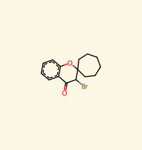 O=C1c2ccccc2OC2(CCCCCC2)C1Br